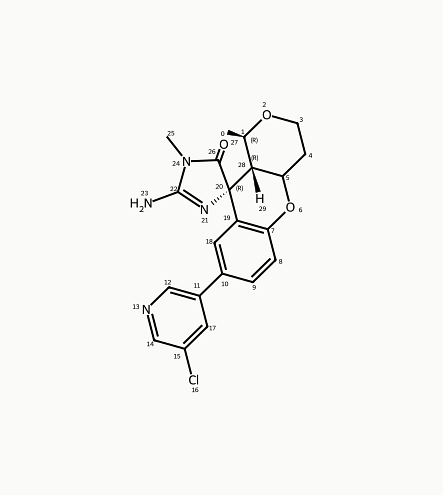 C[C@H]1OCCC2Oc3ccc(-c4cncc(Cl)c4)cc3[C@]3(N=C(N)N(C)C3=O)[C@@H]21